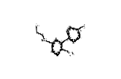 Nc1ccc(NCCO)cc1-c1ccc(Cl)cc1